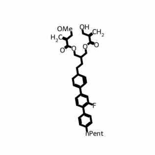 C=C(CO)C(=O)OCC(CCC1C#CC(c2ccc(-c3ccc(CCCCC)cc3)c(F)c2)=CC1)COC(=O)C(=C)COC